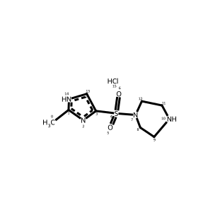 Cc1nc(S(=O)(=O)N2CCNCC2)c[nH]1.Cl